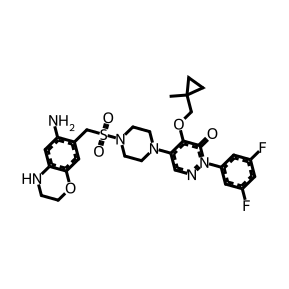 CC1(COc2c(N3CCN(S(=O)(=O)Cc4cc5c(cc4N)NCCO5)CC3)cnn(-c3cc(F)cc(F)c3)c2=O)CC1